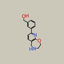 OCc1cccc(-c2ccc3c(n2)OCCNC3)c1